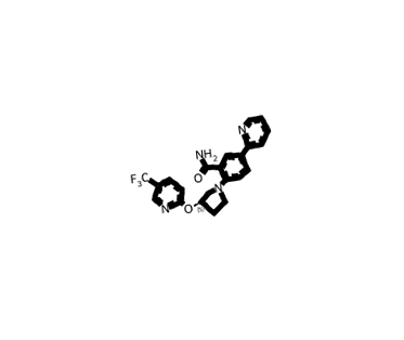 NC(=O)c1cc(-c2ccccn2)ccc1N1CC[C@H](Oc2ccc(C(F)(F)F)cn2)C1